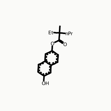 CCCC(C)(CC)C(=O)Oc1ccc2cc(O)ccc2c1